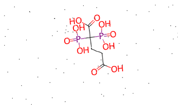 O=C(O)CCC(C(=O)O)(P(=O)(O)O)P(=O)(O)O